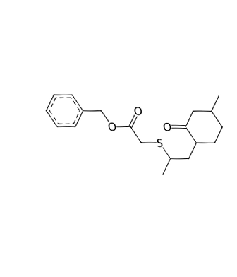 CC1CCC(CC(C)SCC(=O)OCc2ccccc2)C(=O)C1